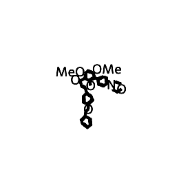 COc1cc(OC)c2c(=O)cc(-c3ccc(OCc4ccccc4)cc3)oc2c1-c1ccc(N2CCOCC2)cc1